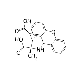 C[C@@](NC1c2ccccc2Oc2ccccc21)(C(=O)O)[C@H]1C[C@@H]1C(=O)O